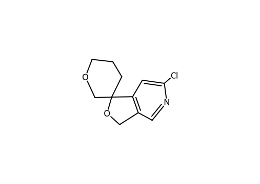 Clc1cc2c(cn1)COC21CCCOC1